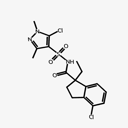 CCC1(C(=O)NS(=O)(=O)c2c(C)nn(C)c2Cl)CCc2c(Cl)cccc21